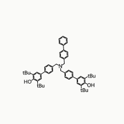 CC(C)(C)c1cc(-c2ccc(CN(Cc3ccc(-c4ccccc4)cc3)Cc3ccc(-c4cc(C(C)(C)C)c(O)c(C(C)(C)C)c4)cc3)cc2)cc(C(C)(C)C)c1O